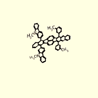 Cc1cccc(-c2c3c(c(-c4cccc(C)c4)c4cc5ccccc5cc24)-c2ccc4c5c(ccc-3c25)-c2c-4c(-c3ccc4c5ccccc5n(C)c4c3)c3ccccc3c2-c2ccc3c4ccccc4n(C)c3c2)c1